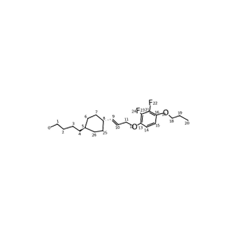 CCCCC[C@H]1CC[C@H](/C=C/COc2ccc(OCCC)c(F)c2F)CC1